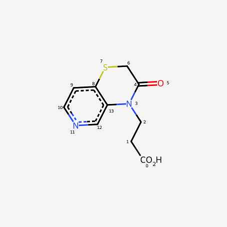 O=C(O)CCN1C(=O)CSc2ccncc21